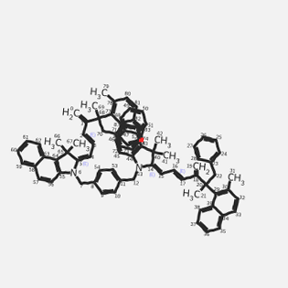 C=C(/C=C/C=C1/N(Cc2ccc(CN3/C(=C/C=C/C(=C)C(C)(Cc4ccccc4)c4c(C)ccc5ccccc45)C(C)(C)c4c3ccc3ccccc43)cc2)c2ccc3ccccc3c2C1(C)C)C(C)(Cc1ccccc1)c1c(C)ccc2ccccc12